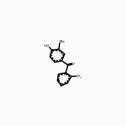 CC(C)(C)c1cc(C(=O)c2ccccc2C(F)(F)F)ccc1O